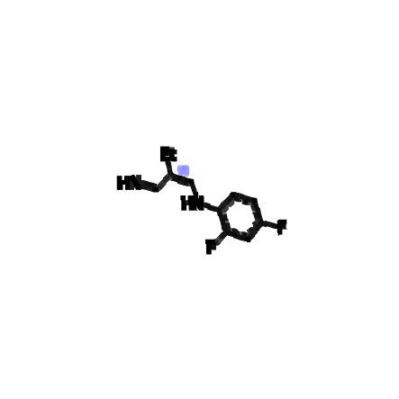 CC/C(C=N)=C/Nc1ccc(F)cc1F